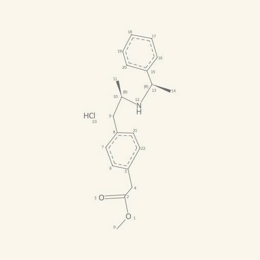 COC(=O)Cc1ccc(C[C@@H](C)N[C@H](C)c2ccccc2)cc1.Cl